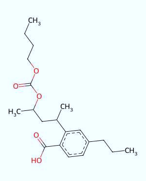 CCCCOC(=O)OC(C)CC(C)c1cc(CCC)ccc1C(=O)O